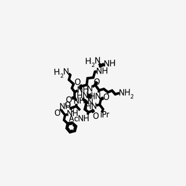 CC(=O)NC(Cc1c[nH]cn1)C(=O)NC(CC(C)C)C(=O)NC(CCCCN)C(=O)NC(CCCNC(=N)N)C(=O)NC(CCCCN)C(=O)NC(C)C(=O)NC(Cc1ccccc1)C(N)=O